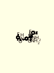 Cc1ccc(F)cc1C(=O)NCc1ccc(-c2nn(C3CN(C(C)C)CCC3(F)F)c(N)c2C(N)=O)cc1